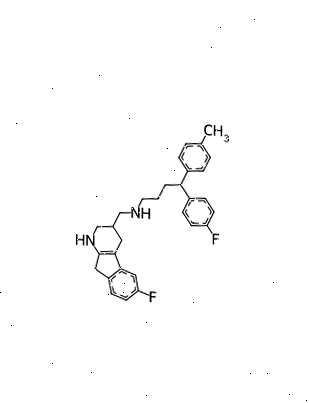 Cc1ccc(C(CCCNCC2CNC3=C(C2)c2cc(F)ccc2C3)c2ccc(F)cc2)cc1